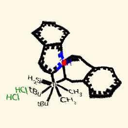 C[C](C)(C)[Ti]([CH3])([CH3])(=[SiH2])([c]1cc2ccccc2[nH]1)([CH]1C=Cc2ccccc21)[C](C)(C)C.Cl.Cl